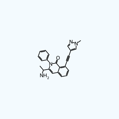 CC(N)c1cc2cccc(C#Cc3cnn(C)c3)c2c(=O)n1-c1ccccc1